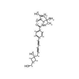 CC(C)(N)C(NC(=O)c1ccc(C#CC#CCC2(O)CC(CO)C2)cc1)C(=O)NO